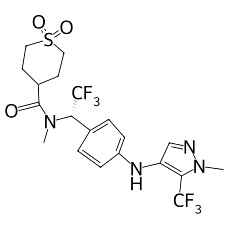 CN(C(=O)C1CCS(=O)(=O)CC1)[C@@H](c1ccc(Nc2cnn(C)c2C(F)(F)F)cc1)C(F)(F)F